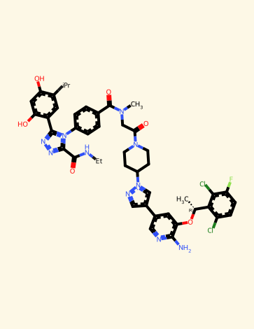 CCNC(=O)c1nnc(-c2cc(C(C)C)c(O)cc2O)n1-c1ccc(C(=O)N(C)CC(=O)N2CCC(n3cc(-c4cnc(N)c(O[C@H](C)c5c(Cl)ccc(F)c5Cl)c4)cn3)CC2)cc1